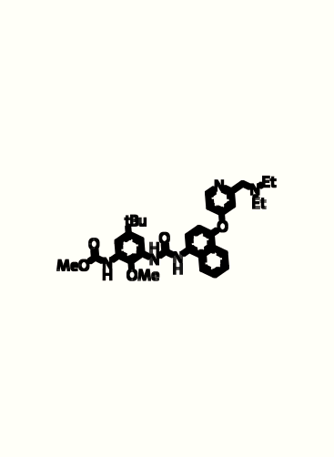 CCN(CC)Cc1cc(Oc2ccc(NC(=O)Nc3cc(C(C)(C)C)cc(NC(=O)OC)c3OC)c3ccccc23)ccn1